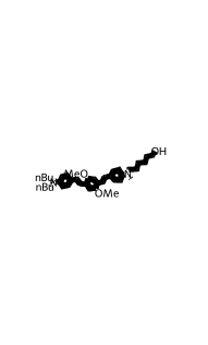 CCCCN(CCCC)c1ccc(/C=C/c2cc(OC)c(/C=C/c3ccc(N(C)CCCCCCO)cc3)cc2OC)cc1